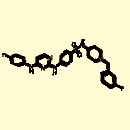 CN(C1CCN(Cc2cccc(F)c2)CC1)S(=O)(=O)c1ccc(Nc2nccc(Nc3ccc(F)cc3)n2)cc1